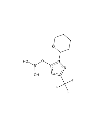 OB(O)Oc1cc(C(F)(F)F)nn1C1CCCCO1